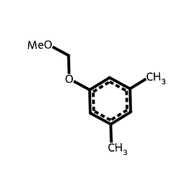 COCOc1cc(C)cc(C)c1